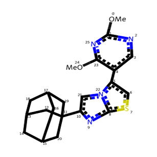 COc1ncc(-c2csc3nc(C45CC6CC(CC(C6)C4)C5)cn23)c(OC)n1